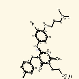 Cc1ccc(Cn2c(=O)n(CCC(=O)O)c(=O)[nH]/c2=N\c2ccc(OCCCN(C)C)c(F)c2)cc1